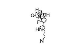 N#CCCCC1C=C(c2ccc(O)c(N3CC(=O)NS3(=O)=O)c2F)CN1